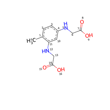 Cc1ccc(NCC(=O)O)cc1NCC(=O)O